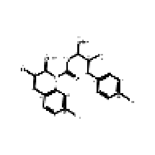 CCCCCCC(OC(=O)OC(CCCCCC)C(CC)Cc1ccc(I)cc1)C(CC)Cc1ccc(I)cc1